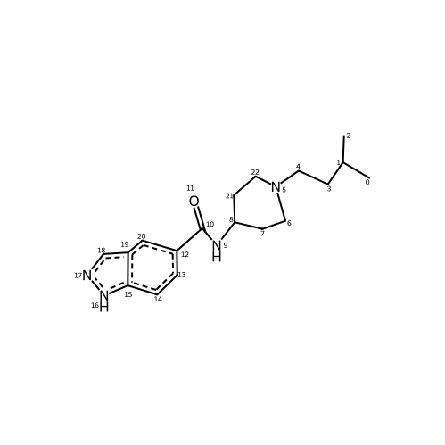 CC(C)CCN1CCC(NC(=O)c2ccc3[nH]ncc3c2)CC1